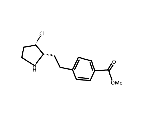 COC(=O)c1ccc(CC[C@@H]2NCC[C@@H]2Cl)cc1